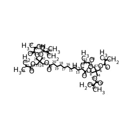 C=C(C)C(=O)OCC(COC(=O)CCCCCCCCCC(=O)OCC(COC(=O)C(=C)C)(COC(=O)C(=C)C)COC(=O)C(=C)C)(COC(=O)C(=C)C)COC(=O)C(=C)C